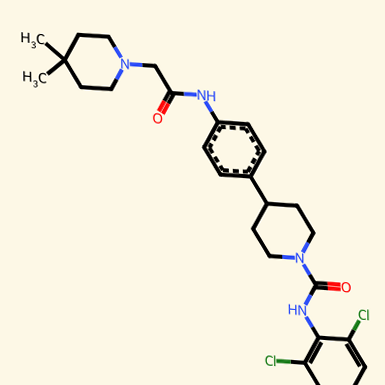 CC1(C)CCN(CC(=O)Nc2ccc(C3CCN(C(=O)NC4=C(Cl)CCC=C4Cl)CC3)cc2)CC1